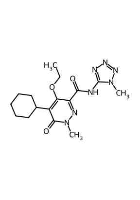 CCOc1c(C(=O)Nc2nnnn2C)nn(C)c(=O)c1C1CCCCC1